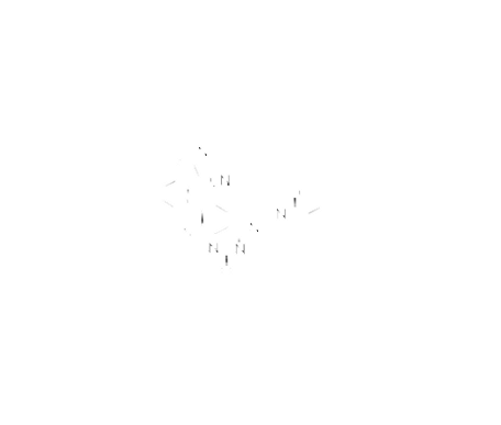 C=CC(=O)N1CCN(c2nc(=O)n3c4c(c(-c5cccc6sc(N)c(C#N)c56)c(C(F)(F)F)cc24)SCC3C)CC1